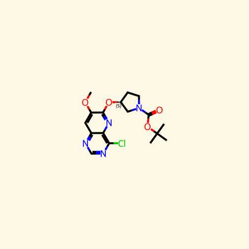 COc1cc2ncnc(Cl)c2nc1O[C@H]1CCN(C(=O)OC(C)(C)C)C1